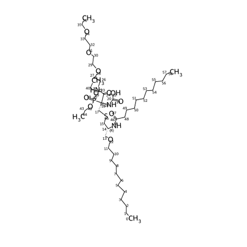 CCCCCCCCCCCCOC[C@H](CSC[C@@](NC(=O)O)(C(=O)NCCOCCOCCOCC)P(=O)(OCC)OCC)NC(=O)CCCCCCCCCCC